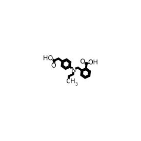 CCCN(Cc1ccccc1C(=O)O)c1ccc(CC(=O)O)cc1